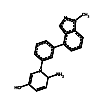 Cn1ncc2c(-c3cccc(N4C=C(O)C=CC4N)c3)cccc21